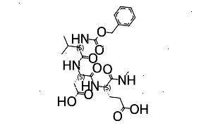 CNC(=O)[C@H](CCC(=O)O)NC(=O)[C@H](CC(=O)O)NC(=O)[C@@H](NC(=O)OCc1ccccc1)C(C)C